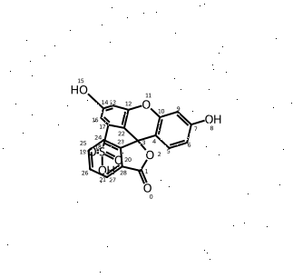 O=C1OC2(c3ccc(O)cc3Oc3cc(O)cc(S(=O)(=O)O)c32)c2ccccc21